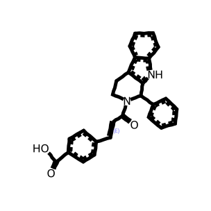 O=C(O)c1ccc(/C=C/C(=O)N2CCc3c([nH]c4ccccc34)C2c2ccccc2)cc1